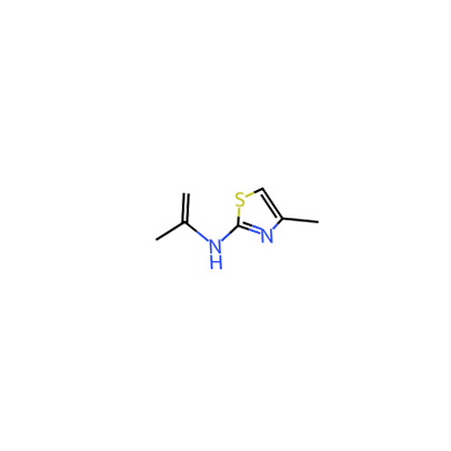 C=C(C)Nc1nc(C)cs1